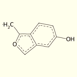 [CH2]c1occ2cc(O)ccc12